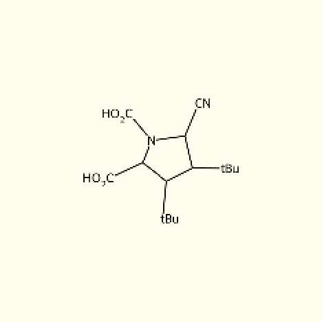 CC(C)(C)C1C(C#N)N(C(=O)O)C(C(=O)O)C1C(C)(C)C